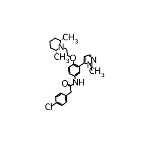 C[C@@H]1CCC[C@H](C)N1CCOc1ccc(NC(=O)Cc2ccc(Cl)cc2)cc1-c1ccnn1C